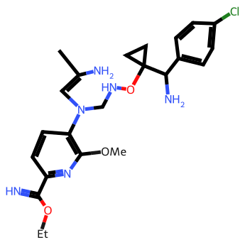 CCOC(=N)c1ccc(N(/C=C(/C)N)CNOC2(C(N)c3ccc(Cl)cc3)CC2)c(OC)n1